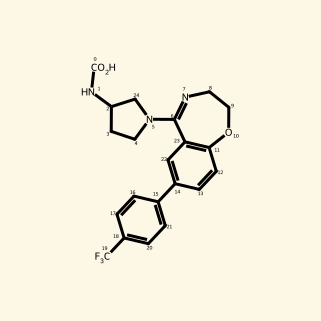 O=C(O)NC1CCN(C2=NCCOc3ccc(-c4ccc(C(F)(F)F)cc4)cc32)C1